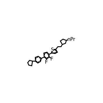 CCCC1CCC(CCc2ccc(-c3ccc(-c4ccc(C5CCCC5)cc4)c(F)c3F)s2)C1